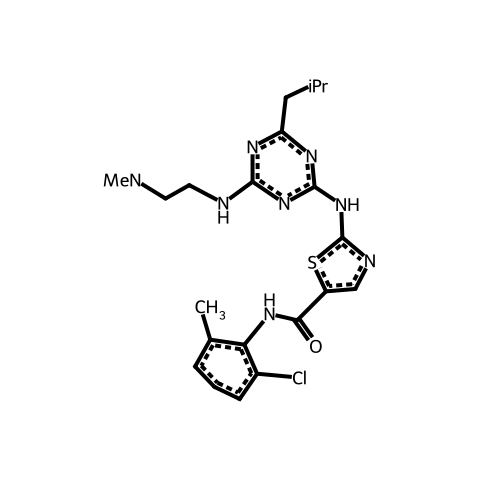 CNCCNc1nc(CC(C)C)nc(Nc2ncc(C(=O)Nc3c(C)cccc3Cl)s2)n1